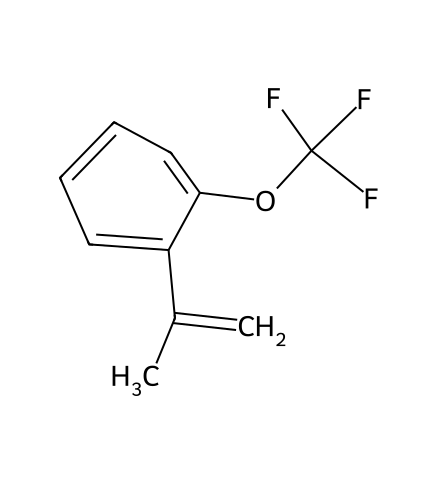 C=C(C)c1ccccc1OC(F)(F)F